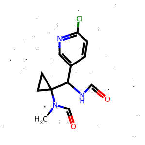 CN(C=O)C1(C(NC=O)c2ccc(Cl)nc2)CC1